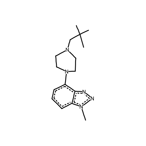 Cn1nnc2c(N3CCN(CC(C)(C)C)CC3)cccc21